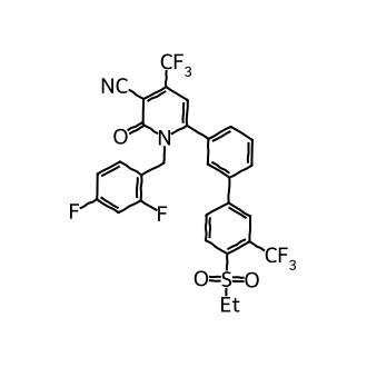 CCS(=O)(=O)c1ccc(-c2cccc(-c3cc(C(F)(F)F)c(C#N)c(=O)n3Cc3ccc(F)cc3F)c2)cc1C(F)(F)F